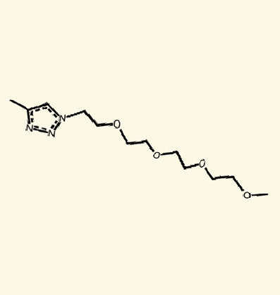 COCCOCCOCCOCCn1cc(C)nn1